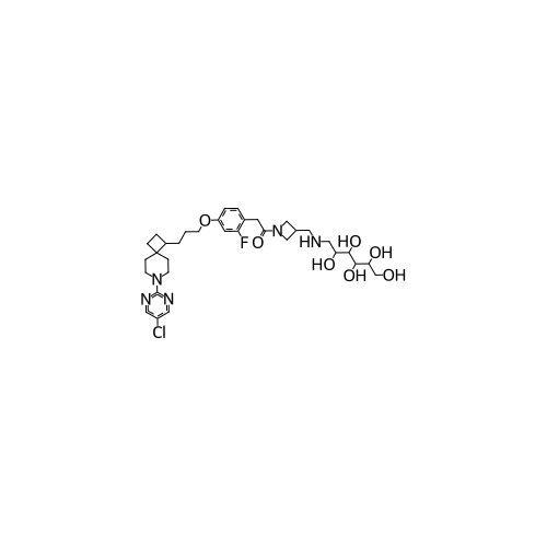 O=C(Cc1ccc(OCCCC2CCC23CCN(c2ncc(Cl)cn2)CC3)cc1F)N1CC(CNCC(O)C(O)C(O)C(O)CO)C1